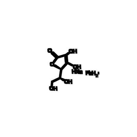 O=C1O[C@H]([C@@H](O)CO)C(O)=C1O.[NaH].[PbH2]